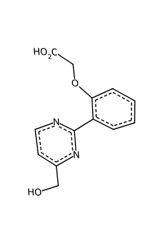 O=C(O)COc1ccccc1-c1nccc(CO)n1